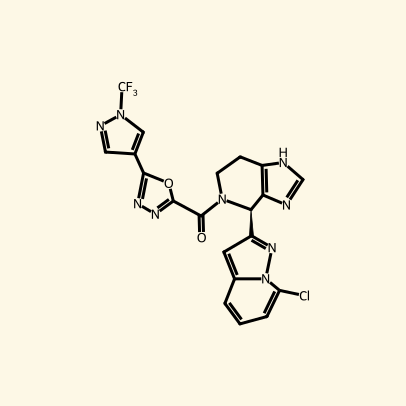 O=C(c1nnc(-c2cnn(C(F)(F)F)c2)o1)N1CCc2[nH]cnc2[C@H]1c1cc2cccc(Cl)n2n1